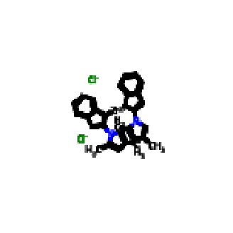 Cc1cc(C)n(C2=Cc3ccccc3[CH]2[Zr+2][CH]2C(n3cc(C)cc3C)=Cc3ccccc32)c1.[Cl-].[Cl-]